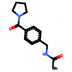 CC(C)(C)C(=O)NCc1ccc(C(=O)N2CCCC2)cc1